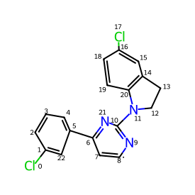 Clc1cccc(-c2c[c]nc(N3CCc4cc(Cl)ccc43)n2)c1